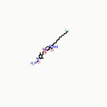 Cc1cc(N(C)C(N)=O)cc(C)c1C=CS(=O)(=O)N1CCC2(CC1)N=C(CCCCCCCCCCC(F)F)NC2=O